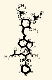 C=C1C(=CC=C2CCC[C@]3(C)[C@@H]([C@H](C)C(CCC(C)C)S(=O)(=O)c4ccccc4)CC[C@@H]23)C[C@@H](OC(=O)OC)C[C@@H]1OC(=O)OC